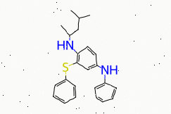 CC(C)CC(C)Nc1ccc(Nc2ccccc2)cc1Sc1ccccc1